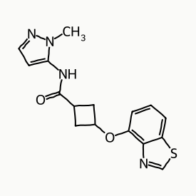 Cn1nccc1NC(=O)C1CC(Oc2cccc3scnc23)C1